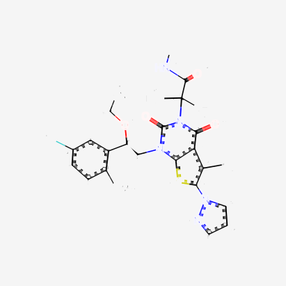 COc1ccc(F)cc1[C@H](Cn1c(=O)n(C(C)(C)C(=O)NC(C)C)c(=O)c2c(C)c(-n3cccn3)sc21)OCC#N